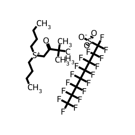 CCCC[S+](CCCC)CC(=O)C(C)(C)C.O=S(=O)([O-])C(F)(F)C(F)(F)C(F)(F)C(F)(F)C(F)(F)C(F)(F)C(F)(F)C(F)(F)F